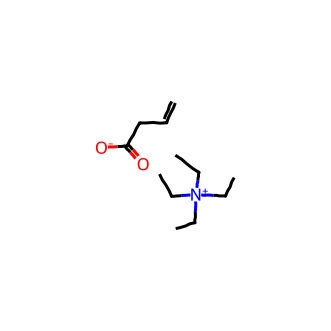 C=CCC(=O)[O-].CC[N+](CC)(CC)CC